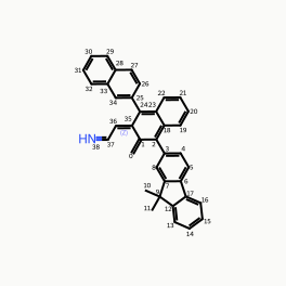 C=c1c(-c2ccc3c(c2)C(C)(C)c2ccccc2-3)c2ccccc2c(-c2ccc3ccccc3c2)/c1=C/C=N